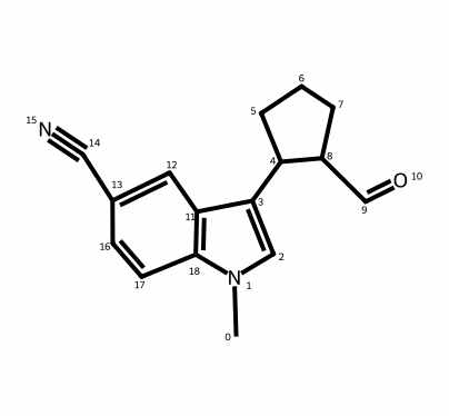 Cn1cc(C2CCCC2C=O)c2cc(C#N)ccc21